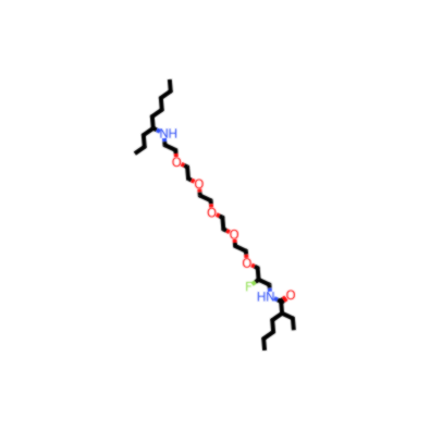 CCCCCC(CCC)NCCOCCOCCOCCOCCOCC(F)CNC(=O)C(CC)CCCC